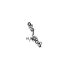 CC(C)(C)OC(=O)N1CCc2c(sc3c2ON(N)C(SCCCN2CCN(c4nc5ccccc5s4)CC2)=N3)C1